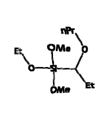 CCCOC(CC)[Si](OC)(OC)OCC